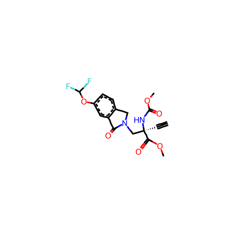 C#C[C@](CN1Cc2ccc(OC(F)F)cc2C1=O)(NC(=O)OC)C(=O)OC